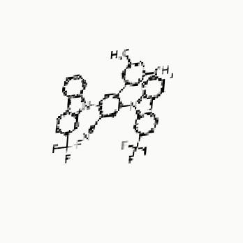 Cc1cc(-c2cc(-n3c4ccccc4c4ccc(C(F)(F)F)cc43)c(C#N)cc2-n2c3ccccc3c3ccc(C(F)(F)F)cc32)cc(C)n1